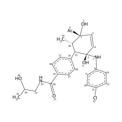 CC(=O)[C@@]1(O)C=C[C@](O)(Nc2ccc(Cl)cc2)C(c2ccc(C(=O)NCC(C)O)cc2)[C@@H]1C